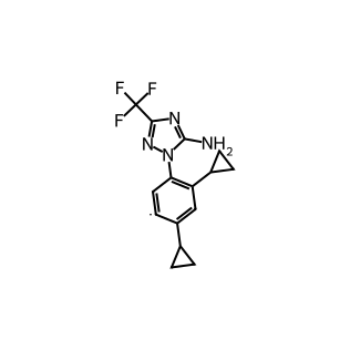 Nc1nc(C(F)(F)F)nn1-c1c[c]c(C2CC2)cc1C1CC1